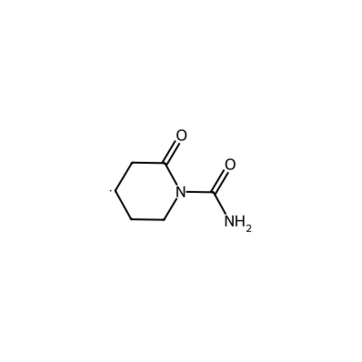 NC(=O)N1CC[CH]CC1=O